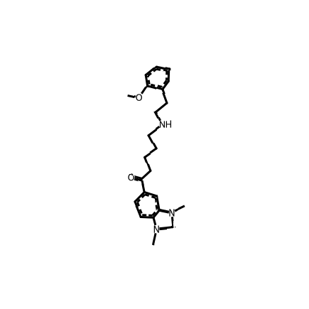 COc1ccccc1CCNCCCCC(=O)c1ccc2c(c1)N(C)[CH]N2C